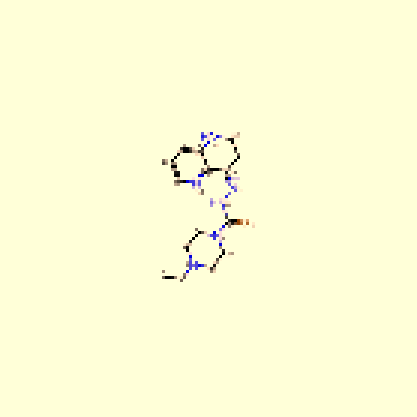 CCN1CCN(C(=S)N/N=C2/CCNc3cccnc32)CC1